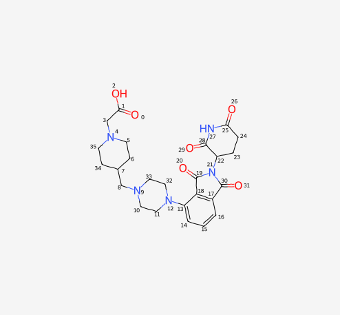 O=C(O)CN1CCC(CN2CCN(c3cccc4c3C(=O)N(C3CCC(=O)NC3=O)C4=O)CC2)CC1